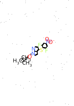 C[Si](C)(C)CCOCn1ccc2c(Sc3c(F)cc([N+](=O)[O-])cc3F)ccnc21